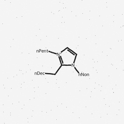 CCCCCCCCCCCc1n(CCCCCCCCC)cc[n+]1CCCCC